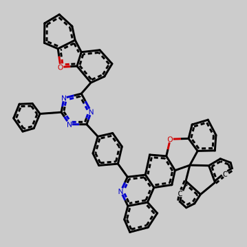 c1ccc(-c2nc(-c3ccc(-c4nc5ccccc5c5cc6c(cc45)Oc4ccccc4C64c5ccccc5-c5ccccc54)cc3)nc(-c3cccc4c3oc3ccccc34)n2)cc1